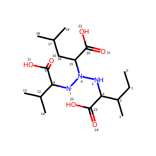 CCC(C)C(NN([N]C(C(=O)O)C(C)C)C(CC(C)C)C(=O)O)C(=O)O